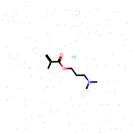 C=C(C)C(=O)OCCCN(C)C.F